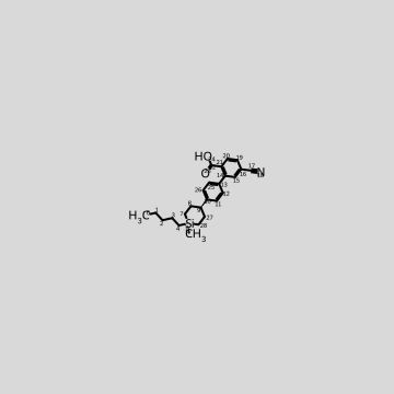 CCCCC[Si@]1(C)CC[C@@H](c2ccc(-c3cc(C#N)ccc3C(=O)O)cc2)CC1